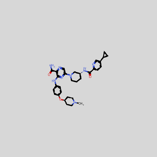 CN1CCC(Oc2ccc(Nc3nc(N4CCC[C@@H](NC(=O)c5ccc(C6CC6)cn5)C4)cnc3C(N)=O)cc2)CC1